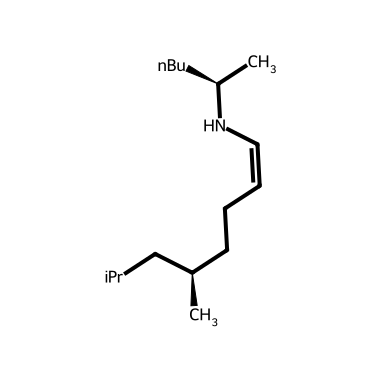 CCCC[C@@H](C)N/C=C\CC[C@@H](C)CC(C)C